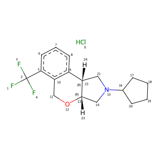 Cl.FC(F)(F)c1cccc2c1CO[C@H]1CN(C3CCCC3)C[C@@H]21